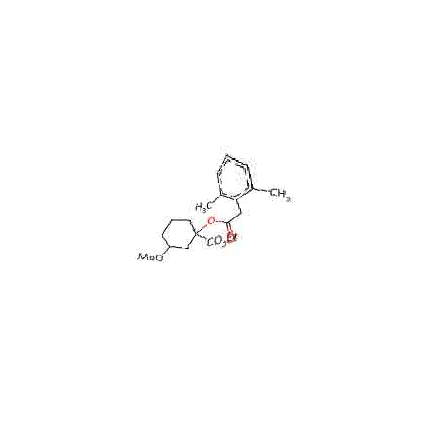 CCOC(=O)C1(OC(=O)Cc2c(C)cccc2C)CCCC(OC)C1